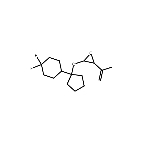 C=C(C)C1OC1OC1(C2CCC(F)(F)CC2)CCCC1